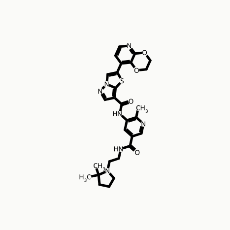 Cc1ncc(C(=O)NCCN2CCCC2(C)C)cc1NC(=O)c1cnn2cc(-c3ccnc4c3OCCO4)sc12